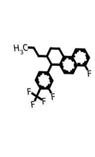 CCCC1CCc2c(ccc3c(F)cccc23)C1c1ccc(C(F)(F)F)c(F)c1